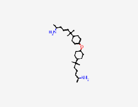 CC(N)CCCC(C)(C)C1CCC(OC2CCC(C(C)(C)CCCC(C)N)CC2)CC1